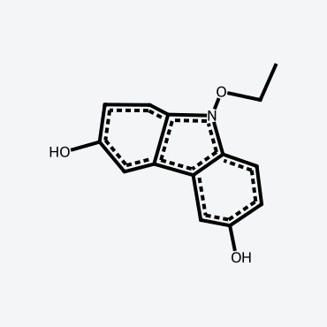 CCOn1c2ccc(O)cc2c2cc(O)ccc21